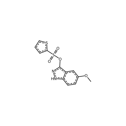 COc1ccc2[nH]nc(OS(=O)(=O)c3cccs3)c2c1